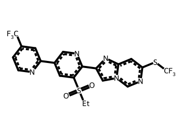 CCS(=O)(=O)c1cc(-c2cc(C(F)(F)F)ccn2)cnc1-c1cn2cnc(SC(F)(F)F)cc2n1